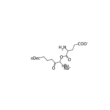 CCCCCCCCCCCCCC(=O)C(CCCC)OC(=O)C(N)CCC(=O)[O-].[Na+]